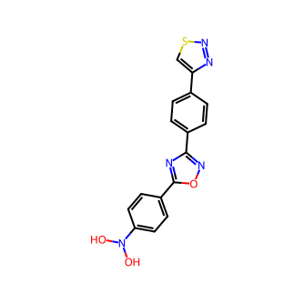 ON(O)c1ccc(-c2nc(-c3ccc(-c4csnn4)cc3)no2)cc1